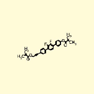 C=C(C)C(=O)OCC#Cc1ccc(-c2ccc(-c3ccc(OC(=O)C(=C)C)cc3)c(F)c2F)cc1